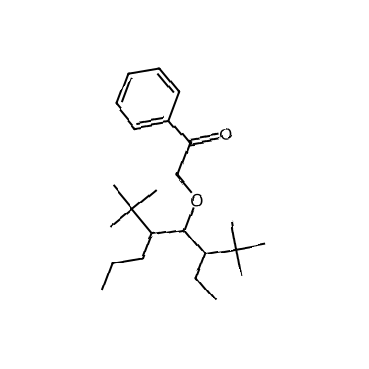 CCCC(C(OCC(=O)c1ccccc1)C(CC)C(C)(C)C)C(C)(C)C